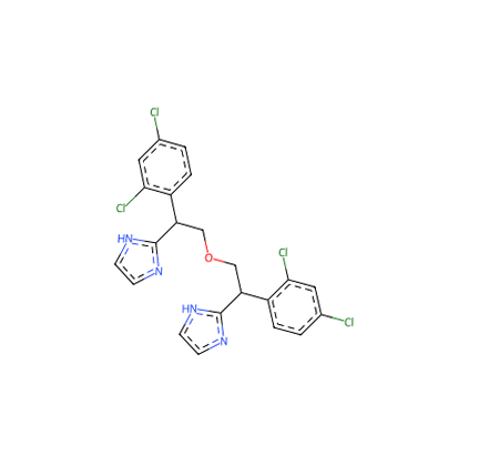 Clc1ccc(C(COCC(c2ncc[nH]2)c2ccc(Cl)cc2Cl)c2ncc[nH]2)c(Cl)c1